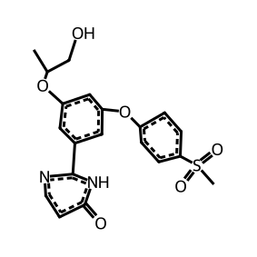 CC(CO)Oc1cc(Oc2ccc(S(C)(=O)=O)cc2)cc(-c2nccc(=O)[nH]2)c1